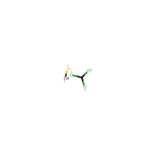 ClC(Cl)Cl.N#CS